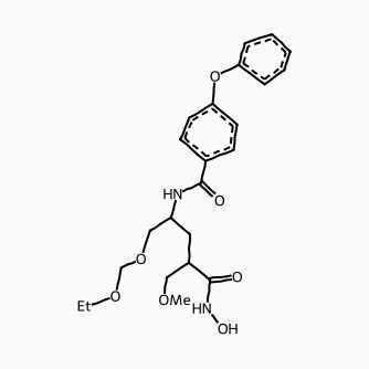 CCOCOCC(CC(COC)C(=O)NO)NC(=O)c1ccc(Oc2ccccc2)cc1